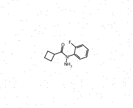 NN(C(=O)C1CCC1)c1ccccc1F